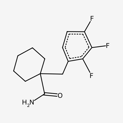 NC(=O)C1(Cc2ccc(F)c(F)c2F)CCCCC1